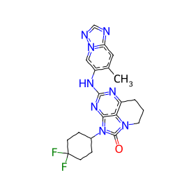 Cc1cc2ncnn2cc1Nc1nc2c3c(n1)n(C1CCC(F)(F)CC1)c(=O)n3CCC2